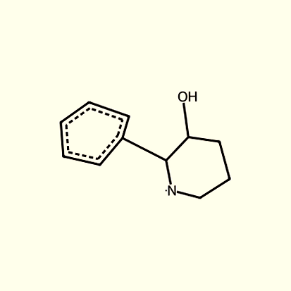 OC1CCC[N]C1c1ccccc1